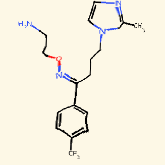 Cc1nccn1CCCC(=NOCCN)c1ccc(C(F)(F)F)cc1